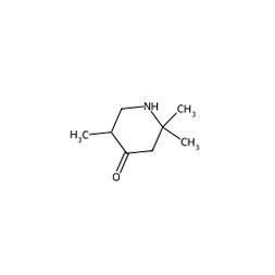 CC1CNC(C)(C)CC1=O